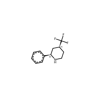 FC(F)(F)[C@H]1CCN[C@@H](c2ccccc2)C1